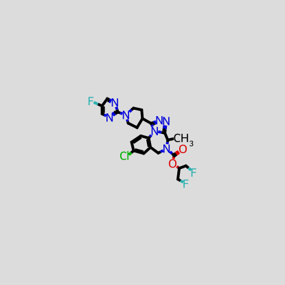 CC1c2nnc(C3CCN(c4ncc(F)cn4)CC3)n2-c2ccc(Cl)cc2CN1C(=O)OC(CF)CF